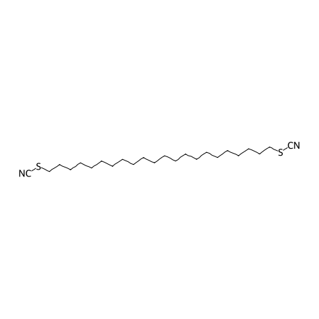 N#CSCCCCCCCCCCCCCCCCCCCCCCSC#N